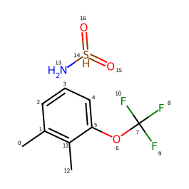 Cc1cccc(OC(F)(F)F)c1C.N[SH](=O)=O